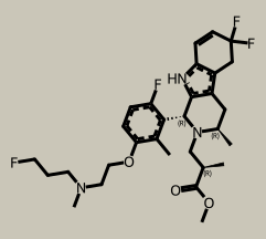 COC(=O)[C@H](C)CN1[C@H](c2c(F)ccc(OCCN(C)CCCF)c2C)c2[nH]c3c(c2C[C@H]1C)CC(F)(F)C=C3